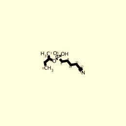 CCC(C)OP(=O)(O)CCCCC#N